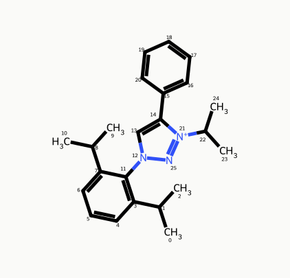 CC(C)c1cccc(C(C)C)c1-n1cc(-c2ccccc2)[n+](C(C)C)n1